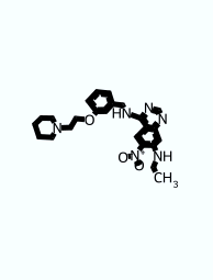 CCNc1cc2ncnc(NCc3cccc(OCCN4CCCCC4)c3)c2cc1[N+](=O)[O-]